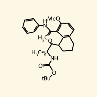 C=C(Nc1ccccc1)c1c(OC)ccc2c1C(C(=O)[C@H](C)NC(=O)OC(C)(C)C)CCC2